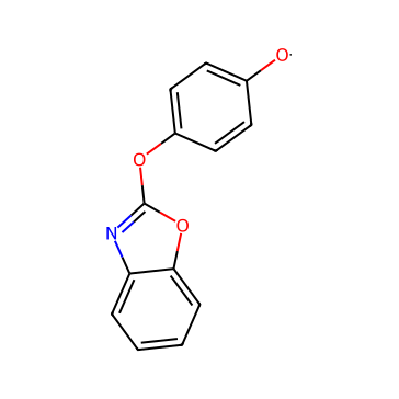 [O]c1ccc(Oc2nc3ccccc3o2)cc1